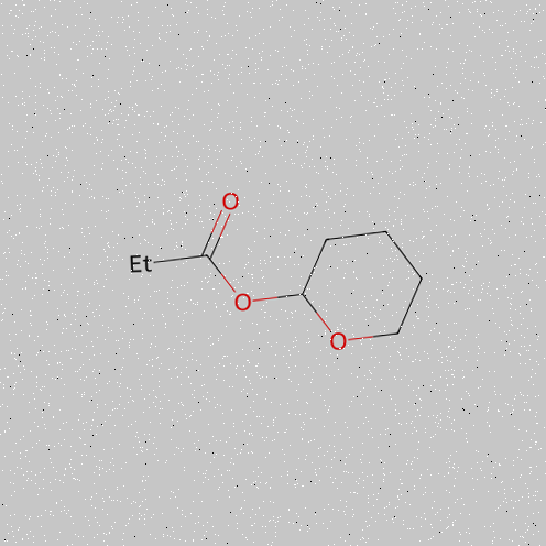 CCC(=O)OC1CCCCO1